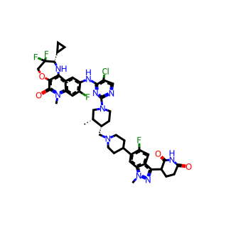 C[C@@H]1CN(c2ncc(Cl)c(Nc3cc4c5c(c(=O)n(C)c4cc3F)OCC(F)(F)[C@H](C3CC3)N5)n2)CC[C@@H]1CN1CCC(c2cc3c(cc2F)c(C2CCC(=O)NC2=O)nn3C)CC1